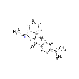 C/C=C/CC(CC)(C(=O)c1ccc(N(C)C)cc1)N1CCOCC1